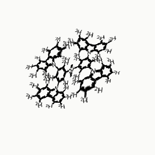 [2H]c1c(-n2c3c([2H])c([2H])c([2H])c([2H])c3c3c([2H])c([2H])c([2H])c([2H])c32)c([2H])c([Si](C)(C)c2c([2H])c(-n3c4c([2H])c([2H])c([2H])c([2H])c4c4c([2H])c([2H])c([2H])c([2H])c43)c([2H])c(-n3c4c([2H])c([2H])c([2H])c([2H])c4c4c([2H])c([2H])c([2H])c([2H])c43)c2[2H])c([2H])c1-n1c2c([2H])c([2H])c([2H])c([2H])c2c2c([2H])c([2H])c([2H])c([2H])c21